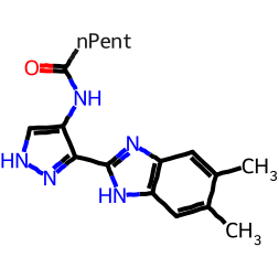 CCCCCC(=O)Nc1c[nH]nc1-c1nc2cc(C)c(C)cc2[nH]1